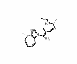 CCN[C@H](C)/N=C\C(C)=C(/N)n1cnc2c1C=CC=C[C@@H]2C